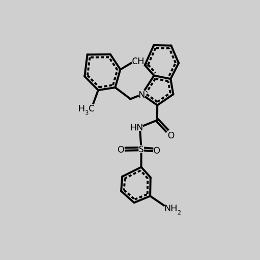 Cc1cccc(C)c1Cn1c(C(=O)NS(=O)(=O)c2cccc(N)c2)cc2ccccc21